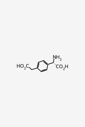 N[C@H](C(=O)O)c1ccc(CC(=O)O)cc1